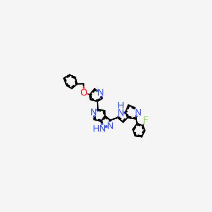 Fc1ccccc1-c1nccc2[nH]c(-c3n[nH]c4cnc(-c5cncc(OCc6ccccc6)c5)cc34)cc12